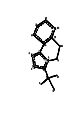 CC(C)(C)c1nnc2n1CCc1ncccc1-2